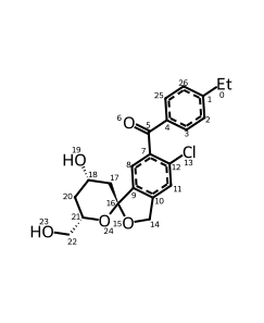 CCc1ccc(C(=O)c2cc3c(cc2Cl)CO[C@@]32C[C@@H](O)C[C@@H](CO)O2)cc1